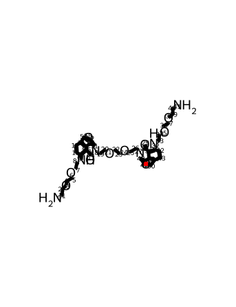 NCCOCCOCCNc1ccc2c3c1C(=O)N(CCOCCOCCN1C(=O)c4c(NCCOCCOCCN)ccc5c4C(=O)C1C=C5)C(C=C2)C3=O